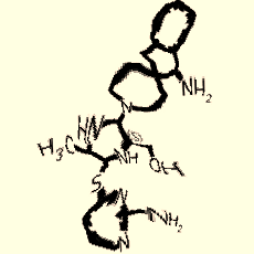 CC1NC(N2CCC3(CC2)Cc2ccccc2C3N)[C@@H](CO)NC1Sc1ccnc(N)n1